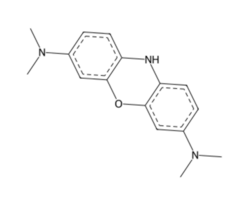 CN(C)c1ccc2c(c1)Oc1cc(N(C)C)ccc1N2